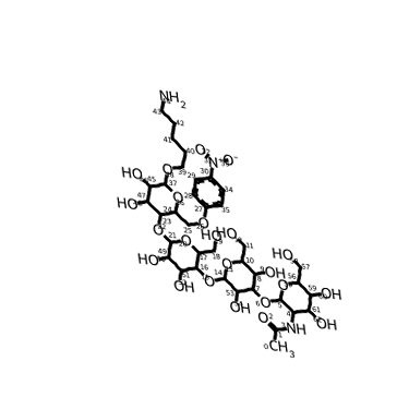 CC(=O)NC1C(OC2C(O)C(CO)OC(OC3C(CO)OC(OC4C(COc5ccc([N+](=O)[O-])cc5)OC(OCCCCCN)C(O)C4O)C(O)C3O)C2O)OC(CO)C(O)C1O